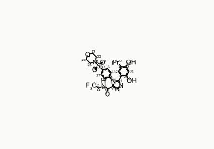 CC(C)c1cc(-c2nnc(C(=O)NCC(F)(F)F)n2-c2ccc(S(=O)(=O)N3CCOCC3)cc2)c(O)cc1O